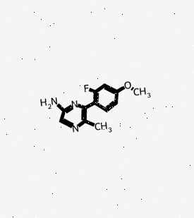 COc1ccc(-c2nc(N)cnc2C)c(F)c1